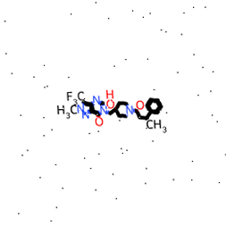 CC(CC(=O)N1CCC(O)(Cn2cnc3c(C(F)(F)F)n(C)nc3c2=O)CC1)c1ccccc1